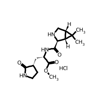 COC(=O)[C@H](C[C@@H]1CCNC1=O)NC(=O)[C@H]1NC[C@H]2[C@@H]1C2(C)C.Cl